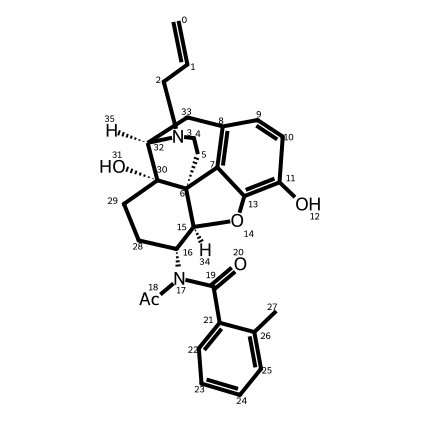 C=CCN1CC[C@]23c4c5ccc(O)c4O[C@H]2[C@H](N(C(C)=O)C(=O)c2ccccc2C)CC[C@@]3(O)[C@H]1C5